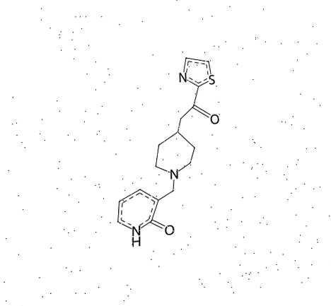 O=C(CC1CCN(Cc2ccc[nH]c2=O)CC1)c1nccs1